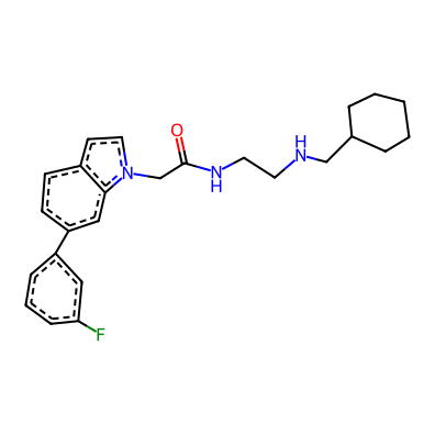 O=C(Cn1ccc2ccc(-c3cccc(F)c3)cc21)NCCNCC1CCCCC1